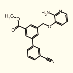 COC(=O)c1cc(COc2cccnc2N)cc(-c2cccc(C#N)c2)c1